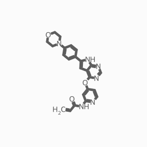 C=CC(=O)Nc1cc(Oc2ncnc3[nH]c(-c4ccc(N5CCOCC5)cc4)cc23)ccn1